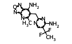 Cc1nc2nonc2c(N)c1Cc1ncc(C(C)(F)F)c(N)n1